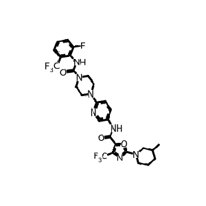 CC1CCCN(c2nc(C(F)(F)F)c(C(=O)Nc3ccc(N4CCN(C(=O)Nc5c(F)cccc5C(F)(F)F)CC4)nc3)o2)C1